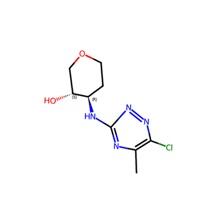 Cc1nc(N[C@@H]2CCOC[C@H]2O)nnc1Cl